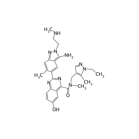 CCn1ncc(CN(C)C(=O)c2nc(-c3cc4c(N)n(CCNC)nc4cc3C)nc3ccc(O)cc23)c1C